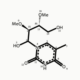 CO[C@H](C(O)n1cc(C)c(=O)[nH]c1=O)[C@@H](CO)OC